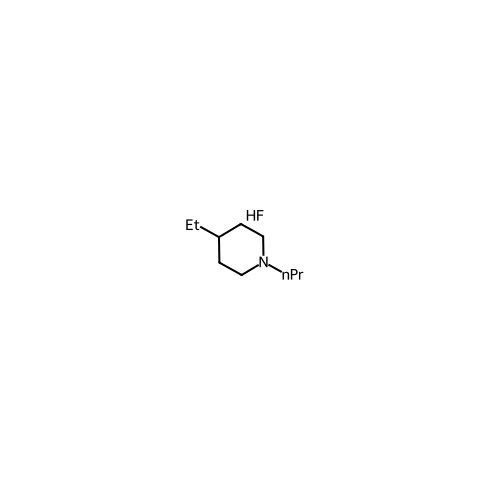 CCCN1CCC(CC)CC1.F